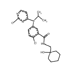 CC(C)N(c1ccc(Cl)c(C(=O)NCC2(O)CCCCC2)c1)c1ccnc(Cl)n1